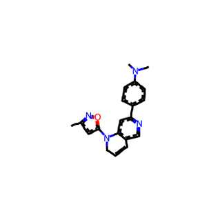 Cc1cc(N2CC=Cc3cnc(-c4ccc(N(C)C)cc4)cc32)on1